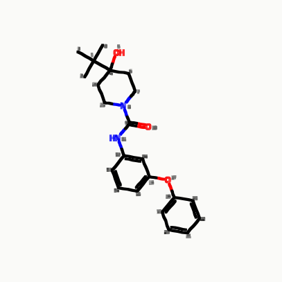 CC(C)(C)C1(O)CCN(C(=O)Nc2cccc(Oc3ccccc3)c2)CC1